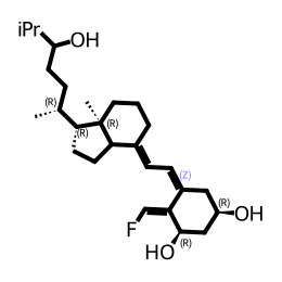 CC(C)C(O)CC[C@@H](C)[C@H]1CCC2C(=C/C=C3/C[C@@H](O)C[C@@H](O)C3=CF)CCC[C@@]21C